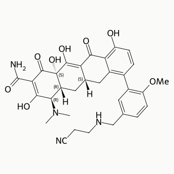 COc1ccc(CNCCC#N)cc1-c1ccc(O)c2c1C[C@@H]1C[C@@H]3[C@@H](N(C)C)C(O)=C(C(N)=O)C(=O)[C@@]3(O)C(O)=C1C2=O